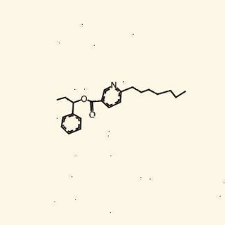 CCCCCCCc1ccc(C(=O)OC(CC)c2ccccc2)cn1